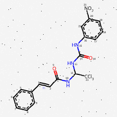 O=C(/C=C/c1ccccc1)NC(NC(=O)Nc1cccc([N+](=O)[O-])c1)C(Cl)(Cl)Cl